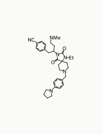 CCN1C(=O)N(C(CCNC)Cc2ccc(C#N)cc2)C(=O)C12CCN(Cc1ccc(N3CCCC3)cc1)CC2